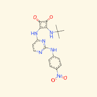 CC(C)(C)Nc1c(Nc2ccnc(Nc3ccc([N+](=O)[O-])cc3)n2)c(=O)c1=O